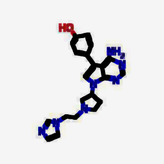 Nc1ncnc2c1c(-c1ccc(O)cc1)cn2C1CCN(CCn2ccnc2)C1